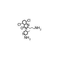 Cc1cc(N)ncc1-n1c(CCCN)nc2c(Cl)ccc(Cl)c2c1=O